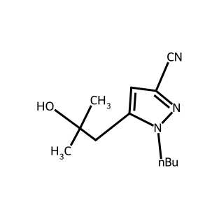 CCCCn1nc(C#N)cc1CC(C)(C)O